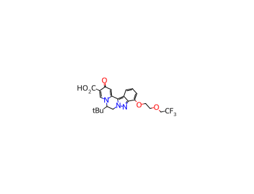 CC(C)(C)C1Cn2nc3c(OCCOCC(F)(F)F)cccc3c2-c2cc(=O)c(C(=O)O)cn21